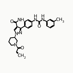 C=CC(=O)N1CCC[C@@H](n2cc(C(N)=O)c(-c3ccc(NC(=O)Nc4cccc(C)c4)cc3)n2)C1